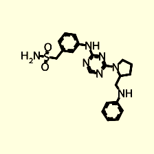 NS(=O)(=O)Cc1cccc(Nc2ncnc(N3CCCC3CNc3ccccc3)n2)c1